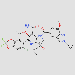 CCOc1c(C(N)=O)cc([C@](O)(CNC(=O)c2cc(OC)c3nn(C4CC4)cc3c2)C2CC2)nc1-c1cc2c(cc1Cl)OC(F)(F)O2